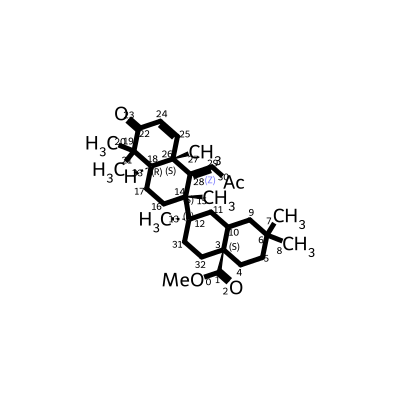 COC(=O)[C@]12CCC(C)(C)CC1C[C@](C)([C@]1(C)CC[C@H]3C(C)(C)C(=O)C=C[C@]3(C)/C1=C/C(C)=O)CC2